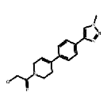 Cn1cc(-c2ccc(C3=CCN(C(=O)CCl)CC3)cc2)nn1